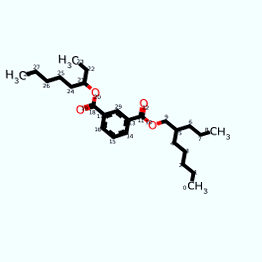 CCCCCC(CCC)COC(=O)c1cccc(C(=O)OC(CC)CCCCC)c1